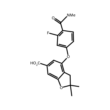 CNC(=O)c1ccc(Oc2cc(C(=O)O)cc3c2CC(C)(C)O3)cc1F